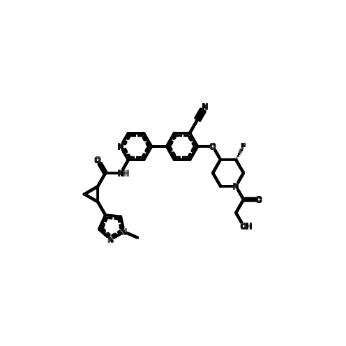 Cn1cc(C2CC2C(=O)Nc2cc(-c3ccc(OC4CCN(C(=O)CO)C[C@H]4F)c(C#N)c3)ccn2)cn1